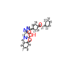 O=C(O)N(Cc1ccccc1)Cc1nnc(-c2ccc(OCc3ccccc3)cc2)o1